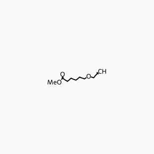 C#CCOCCCCCC(=O)OC